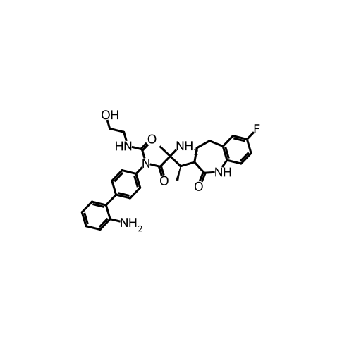 C[C@H](C1CCc2cc(F)ccc2NC1=O)C(C)(N)C(=O)N(C(=O)NCCO)c1ccc(-c2ccccc2N)cc1